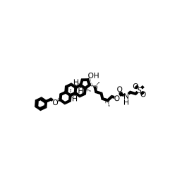 C[C@H](CCC[C@@H](C)[C@H]1[C@@H](O)C[C@H]2[C@@H]3CC=C4C[C@@H](OCc5ccccc5)CC[C@]4(C)[C@H]3CC[C@]12C)COC(=O)NCCS(C)(=O)=O